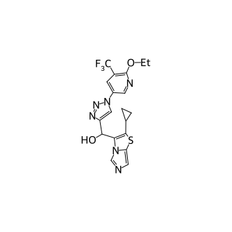 CCOc1ncc(-n2cc(C(O)c3c(C4CC4)sc4cncn34)nn2)cc1C(F)(F)F